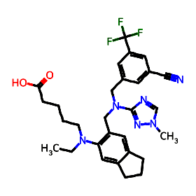 CCN(CCCCC(=O)O)c1cc2c(cc1CN(Cc1cc(C#N)cc(C(F)(F)F)c1)c1ncn(C)n1)CCC2